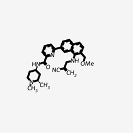 C=C(C#N)CNc1c(COC)ccc2ccc(-c3cccc(C(=O)N[C@@H]4CCN(C)[C@@H](C)C4)n3)cc12